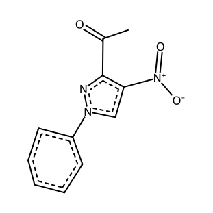 CC(=O)c1nn(-c2ccccc2)cc1[N+](=O)[O-]